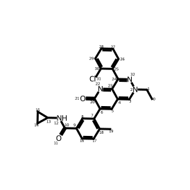 CCn1cc2cc(-c3cc(C(=O)NC4CC4)ccc3C)c(=O)nc-2c(-c2ccccc2Cl)n1